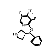 Fc1cnc(O[C@@H](c2ccccc2)[C@H]2CCNC2)c(F)c1C(F)(F)F